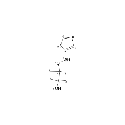 CC(C)(O)C(C)(C)OBc1cccs1